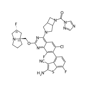 N#Cc1c(N)sc2c(F)ccc(-c3c(Cl)cc4c(N5CC6CN(C(=O)n7cncn7)C6C5)nc(OC[C@@]56CCCN5C[C@H](F)C6)nc4c3F)c12